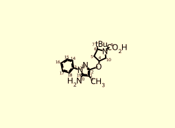 Cc1c(OC2CC(C(C)(C)C)N(C(=O)O)C2)nn(-c2ccccc2)c1N